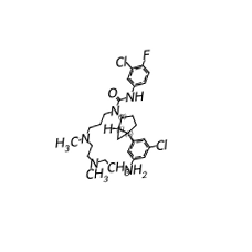 CCN(C)CCN(C)CCCN(C(=O)Nc1ccc(F)c(Cl)c1)[C@@H]1CC[C@]2(c3cc(N)cc(Cl)c3)C[C@H]12